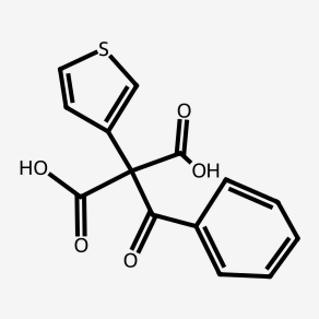 O=C(O)C(C(=O)O)(C(=O)c1ccccc1)c1ccsc1